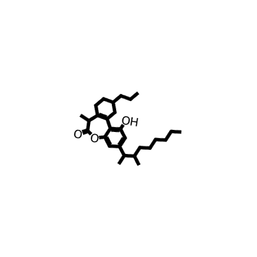 CCCCCCC(C)C(C)c1cc(O)c2c(c1)OC(=O)C(C)C1=C2CC(CCC)CC1